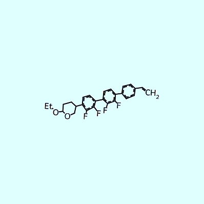 C=Cc1ccc(-c2ccc(-c3ccc(C4CCC(OCC)OC4)c(F)c3F)c(F)c2F)cc1